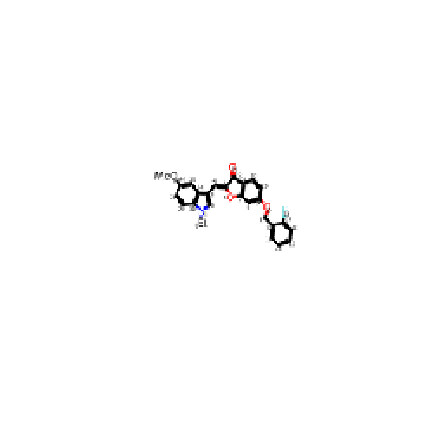 CCn1cc(/C=C2\Oc3cc(OCc4ccccc4F)ccc3C2=O)c2cc(OC)ccc21